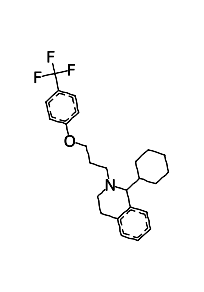 FC(F)(F)c1ccc(OCCCN2CCc3ccccc3C2C2CCCCC2)cc1